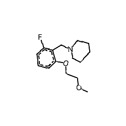 COCCOc1cccc(F)c1CN1CCCCC1